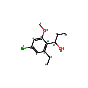 CCc1cc(Br)cc(OC)c1C(O)CC